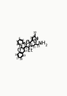 CCC(c1nc2ccccn2c(=O)c1Cc1ccccc1)N(CCCN)C(=O)c1cc(C)no1